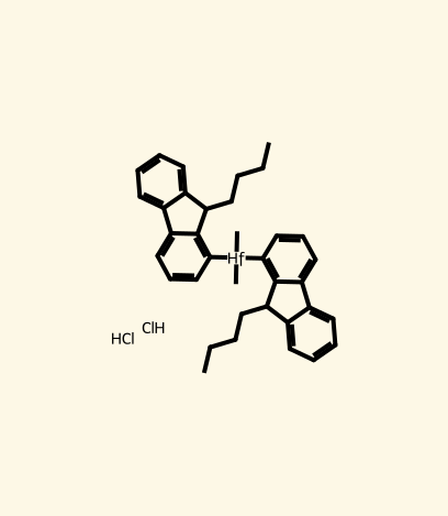 CCCCC1c2ccccc2-c2ccc[c]([Hf]([CH3])([CH3])[c]3cccc4c3C(CCCC)c3ccccc3-4)c21.Cl.Cl